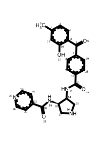 Cc1ccc(C(=O)c2ccc(C(=O)NC3CNC[C@H]3NC(=O)c3ccncc3)cc2)c(O)c1